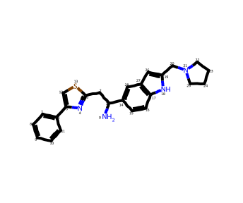 NC(Cc1nc(-c2ccccc2)cs1)c1ccc2[nH]c(CN3CCCC3)cc2c1